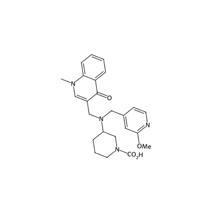 COc1cc(CN(Cc2cn(C)c3ccccc3c2=O)C2CCCN(C(=O)O)C2)ccn1